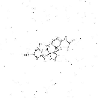 O=C(O)c1cc(F)c([C@@H]2Nc3ccc(OC(F)F)cc3[C@@H]3C=CC[C@@H]32)c(F)c1